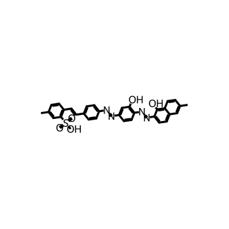 Cc1ccc(C=Cc2ccc(N=Nc3ccc(N=Nc4ccc5cc(C)ccc5c4O)c(O)c3)cc2)c(S(=O)(=O)O)c1